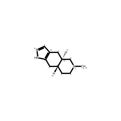 CN1CC[C@@H]2Cc3[nH]ncc3C[C@H]2C1